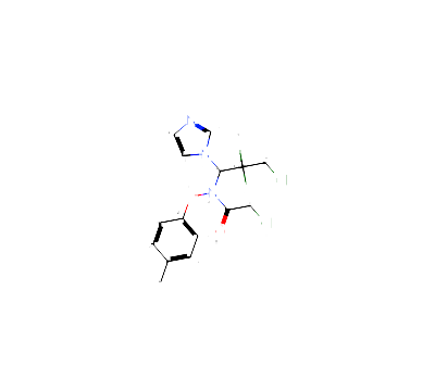 Cc1ccc(ON(C(=O)CCl)C(n2ccnc2)C(Cl)(Cl)CCl)cc1